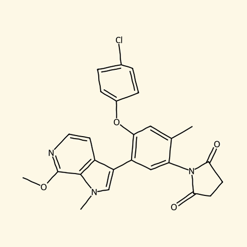 COc1nccc2c(-c3cc(N4C(=O)CCC4=O)c(C)cc3Oc3ccc(Cl)cc3)cn(C)c12